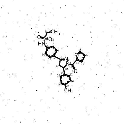 CCS(=O)(=O)Nc1ccc(C2=NN(C(=O)c3cccs3)C(c3ccc(C)cc3)C2)cc1